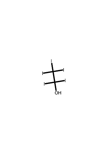 OC(I)(I)C(I)(I)I